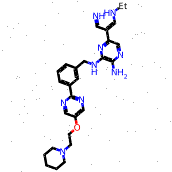 CCN/C=C(\C=N)c1cnc(N)c(NCc2cccc(-c3ncc(OCCN4CCCCC4)cn3)c2)n1